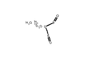 O.O.O.O=BOB=O